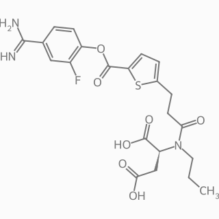 CCCN(C(=O)CCc1ccc(C(=O)Oc2ccc(C(=N)N)cc2F)s1)[C@@H](CC(=O)O)C(=O)O